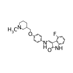 CN1CCCC(COc2ccc(N/C=C3\C(=O)Nc4cccc(F)c43)cc2)C1